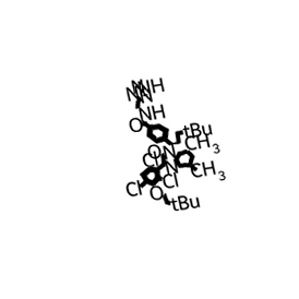 CC1CC(C)CC2(C1)N=C(c1c(Cl)cc(Cl)c(OCCC(C)(C)C)c1Cl)C(=O)N2[C@H](CCC(C)(C)C)c1ccc(C(=O)NCc2nn[nH]n2)cc1